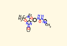 CCN1CC(C)(C)Oc2nc(N3CC4CCC(C3)O4)nc(-c3ccc(NC(=O)Nc4ccn(C)n4)cc3)c2C1=O